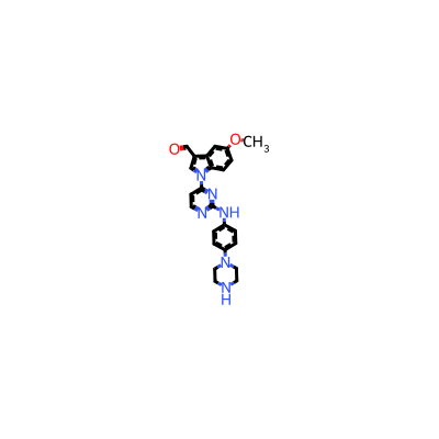 COc1ccc2c(c1)c(C=O)cn2-c1ccnc(Nc2ccc(N3CCNCC3)cc2)n1